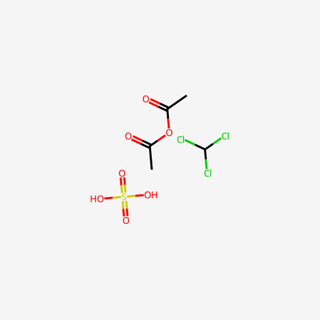 CC(=O)OC(C)=O.ClC(Cl)Cl.O=S(=O)(O)O